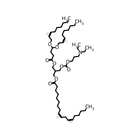 CCCCC/C=C\C/C=C\CCCCCCCC(=O)OCC(COC(=O)CCC(OC/C=C\CCCCCC)OC/C=C\CCCCCC)COC(=O)OCCCN(CC)CC